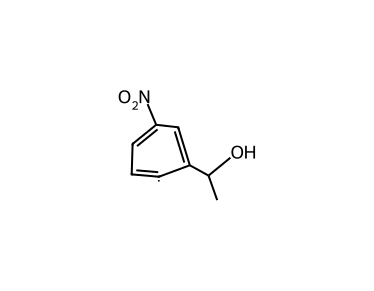 CC(O)c1[c]ccc([N+](=O)[O-])c1